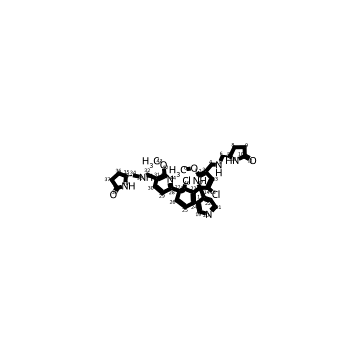 COC1=C(CNC[C@H]2CCC(=O)N2)C=C(Cl)C(c2ccncc2)(c2cccc(-c3ccc(CNC[C@H]4CCC(=O)N4)c(OC)n3)c2Cl)N1